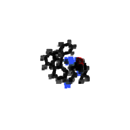 C[SiH](C)[C@]1(NC(c2ccccc2)(c2ccccc2)c2ccccc2)C(=O)N(C(C)(C)C)C1C#N